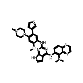 COc1cc(N2CCN(C)CC2)c(-c2ccsc2)cc1Nc1nc(Nc2ccc3nccnc3c2P(C)C)c2cc[nH]c2n1